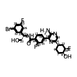 Nc1ncc([C@@H]2CC[C@@H](O)[C@H](F)C2)nc1-c1ccc(C(=O)N[C@H](CO)c2cc(F)cc(Br)c2)c(F)c1